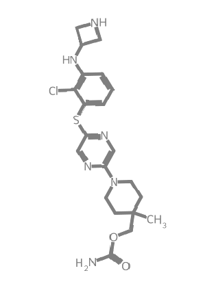 CC1(COC(N)=O)CCN(c2cnc(Sc3cccc(NC4CNC4)c3Cl)cn2)CC1